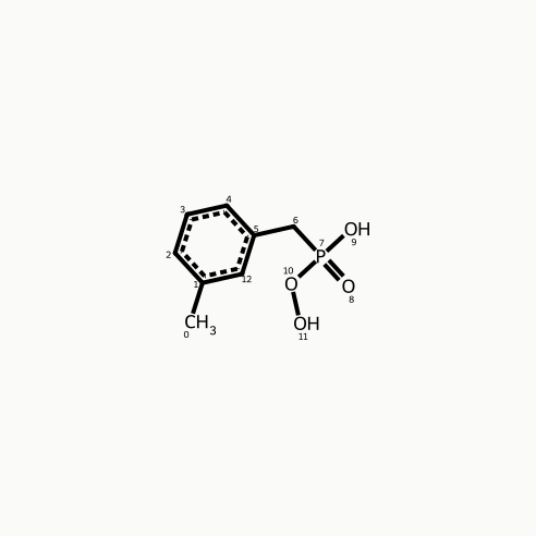 Cc1cccc(CP(=O)(O)OO)c1